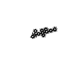 c1ccc(-c2nc3ccccc3nc2-c2ccc(-c3c4ccccc4c(-c4ccc(-c5ccc(-c6cccnc6)cc5)c5ccccc45)c4ccccc34)cc2)cc1